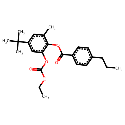 CCCc1ccc(C(=O)Oc2c(C)cc(C(C)(C)C)cc2OC(=O)OCC)cc1